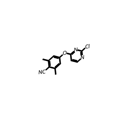 Cc1cc(Oc2ccnc(Cl)n2)cc(C)c1C#N